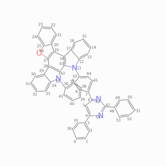 c1ccc(-c2cc(-c3ccc(-n4c5ccccc5c5c6c7ccccc7oc6c6c7ccccc7n(-c7ccccc7)c6c54)cc3)nc(-c3ccccc3)n2)cc1